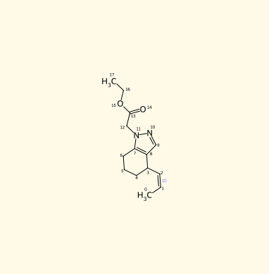 C/C=C\C1CCCc2c1cnn2CC(=O)OCC